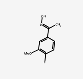 COc1cc(C(C)=NO)ccc1F